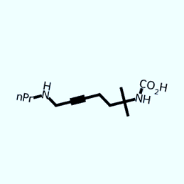 CCCNCC#CCCC(C)(C)NC(=O)O